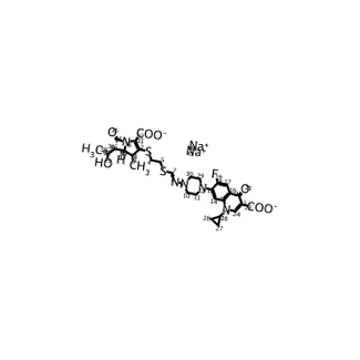 C[C@@H]1C(SCCSC=NN2CCN(c3cc4c(cc3F)c(=O)c(C(=O)[O-])cn4C3CC3)CC2)=C(C(=O)[O-])N2C(=O)[C@@H]([C@@H](C)O)[C@H]12.[Na+].[Na+]